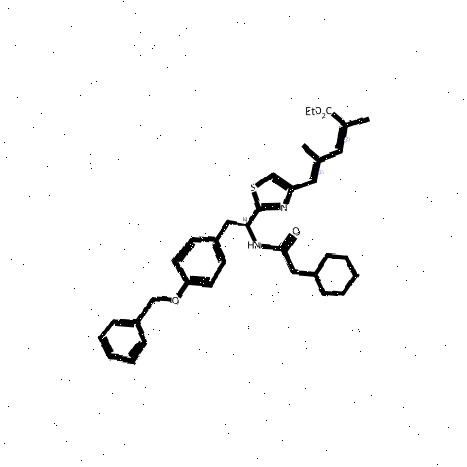 CCOC(=O)/C(C)=C\C(C)=C\c1csc([C@H](Cc2ccc(OCc3ccccc3)cc2)NC(=O)CC2CCCCC2)n1